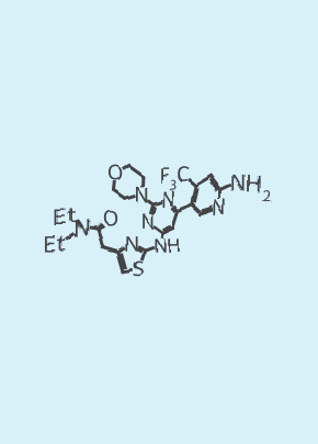 CCN(CC)C(=O)Cc1csc(Nc2cc(-c3cnc(N)cc3C(F)(F)F)nc(N3CCOCC3)n2)n1